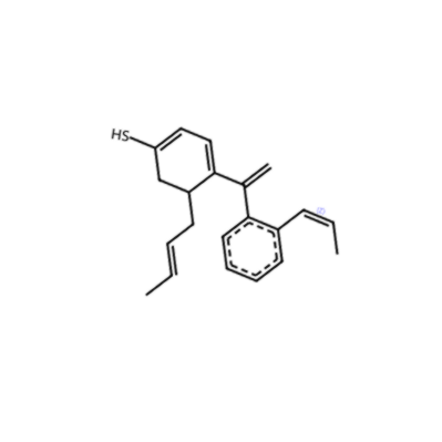 C=C(C1=CC=C(S)CC1CC=CC)c1ccccc1/C=C\C